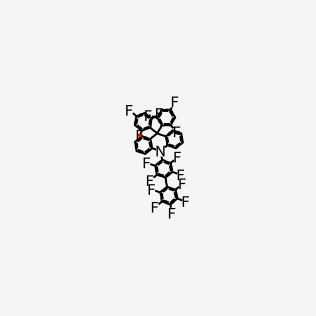 Fc1cc(F)c(C2(c3c(F)cc(F)cc3F)c3ccccc3N(c3c(F)c(F)c(-c4c(F)c(F)c(F)c(F)c4F)c(F)c3F)c3ccccc32)c(F)c1